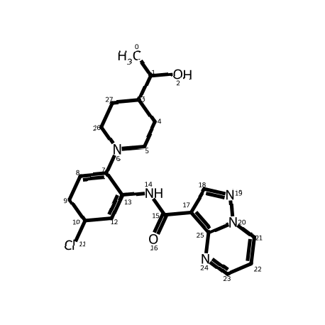 CC(O)C1CCN(C2=CCC(Cl)C=C2NC(=O)c2cnn3cccnc23)CC1